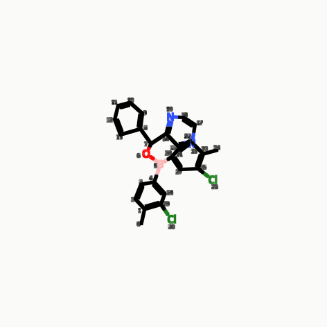 Cc1ccc(B(OC(c2ccccc2)c2cnccn2)c2ccc(C)c(Cl)c2)cc1Cl